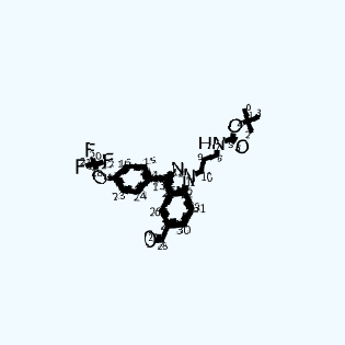 CC(C)(C)OC(=O)NCCCn1nc(-c2ccc(OC(F)(F)F)cc2)c2cc(C=O)ccc21